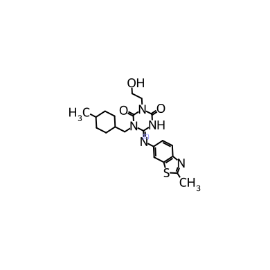 Cc1nc2ccc(/N=c3\[nH]c(=O)n(CCO)c(=O)n3CC3CCC(C)CC3)cc2s1